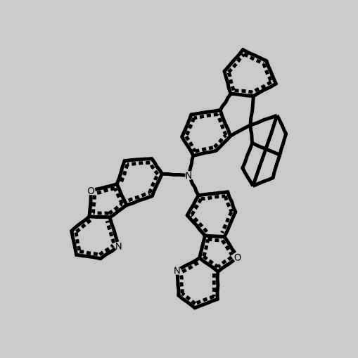 c1ccc2c(c1)-c1ccc(N(c3ccc4oc5cccnc5c4c3)c3ccc4oc5cccnc5c4c3)cc1C21C2CC3CC2CC31